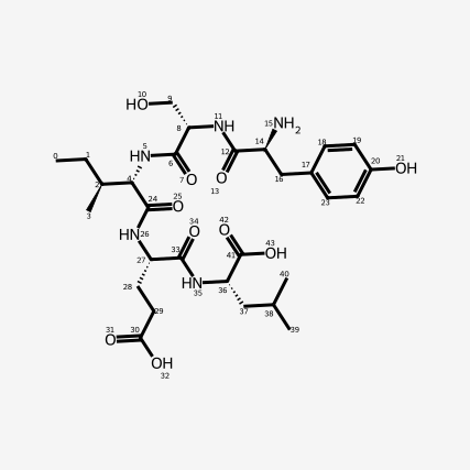 CC[C@H](C)[C@H](NC(=O)[C@H](CO)NC(=O)[C@@H](N)Cc1ccc(O)cc1)C(=O)N[C@@H](CCC(=O)O)C(=O)N[C@@H](CC(C)C)C(=O)O